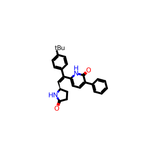 CC(C)(C)c1ccc(C(=C[C@H]2CCC(=O)N2)c2ccc(-c3ccccc3)c(=O)[nH]2)cc1